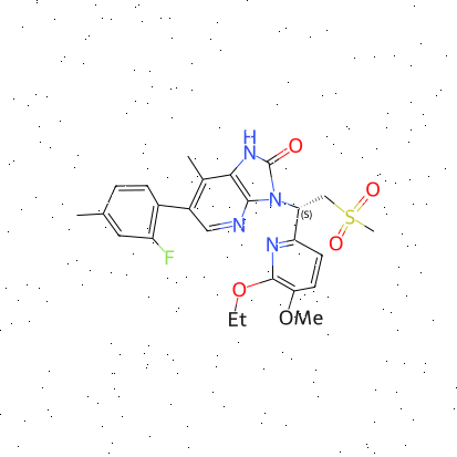 CCOc1nc([C@@H](CS(C)(=O)=O)n2c(=O)[nH]c3c(C)c(-c4ccc(C)cc4F)cnc32)ccc1OC